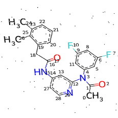 CC(=O)N(c1cc(F)cc(F)c1)c1cc(NC(=O)Cc2cccc(C)c2C)ccn1